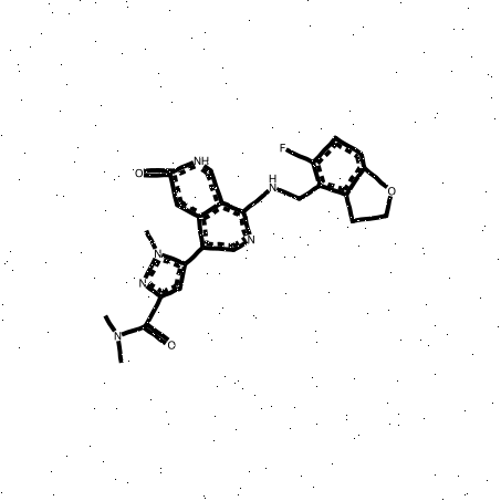 CN(C)C(=O)c1cc(-c2cnc(NCc3c(F)ccc4c3CCO4)c3c[nH]c(=O)cc23)n(C)n1